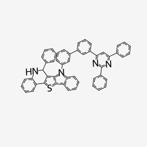 c1ccc(-c2cc(-c3cccc(-c4cccc(-n5c6ccccc6c6sc7c(c65)C(c5ccccc5)Nc5ccccc5-7)c4)c3)nc(-c3ccccc3)n2)cc1